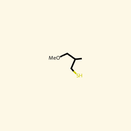 COCC(C)CS